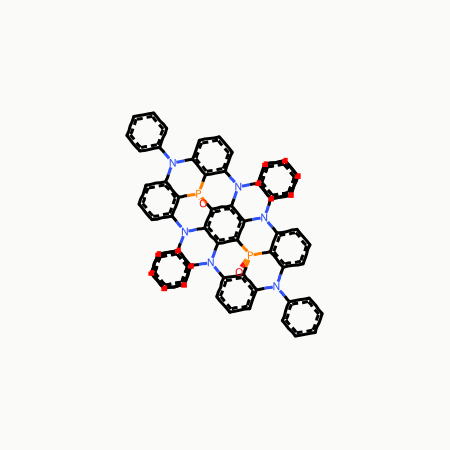 O=P12c3c4cccc3N(c3ccccc3)c3c5c6c(c(c31)N(c1ccccc1)c1cccc(c12)N4c1ccccc1)N(c1ccccc1)c1cccc2c1P6(=O)c1c(cccc1N5c1ccccc1)N2c1ccccc1